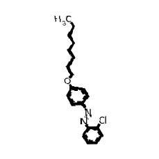 CCCCCCCCOc1ccc(N=Nc2ccccc2Cl)cc1